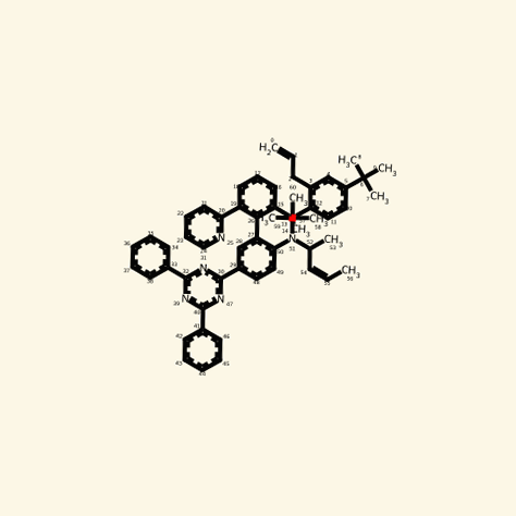 C=CCc1cc(C(C)(C)C)ccc1N(C)c1cccc(-c2ccccn2)c1-c1cc(-c2nc(-c3ccccc3)nc(-c3ccccc3)n2)ccc1N(C(C)/C=C\C)C(C)(C)C